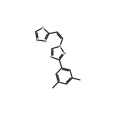 Cc1cc(C)cc(-c2ncn(/C=C\c3nnco3)n2)c1